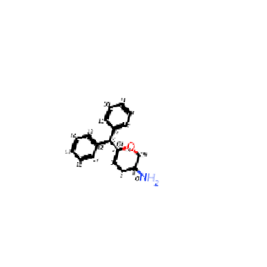 NC1CC[C@@H](C(c2ccccc2)c2ccccc2)OC1